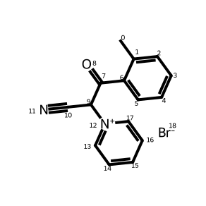 Cc1ccccc1C(=O)C(C#N)[n+]1ccccc1.[Br-]